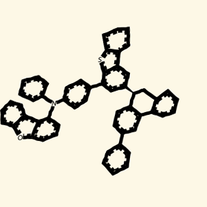 c1ccc(-c2ccc3c(c2)-c2ccccc2C[C@@H]3c2cc(-c3ccc(N(c4ccccc4)c4cccc5oc6ccccc6c45)cc3)c3sc4ccccc4c3c2)cc1